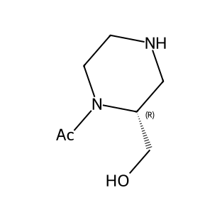 CC(=O)N1CCNC[C@@H]1CO